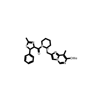 COc1ncn2cc(C[C@@H]3CCCCN3C(=O)C3N=C(C)SC3c3ccccc3)nc2c1C